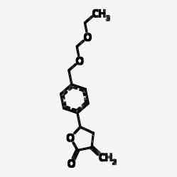 C=C1CC(c2ccc(COCOCC)cc2)OC1=O